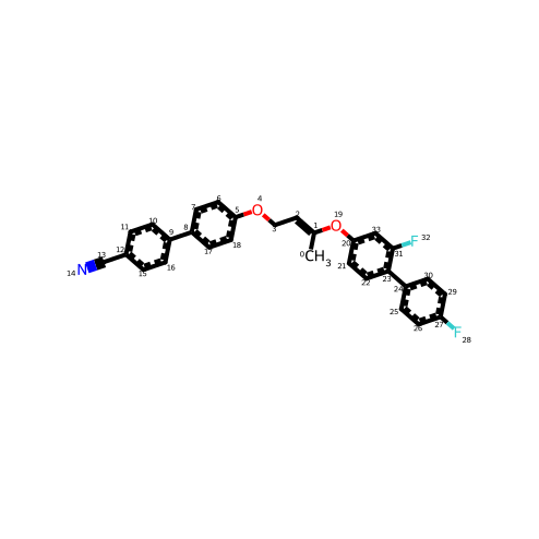 C/C(=C\COc1ccc(-c2ccc(C#N)cc2)cc1)Oc1ccc(-c2ccc(F)cc2)c(F)c1